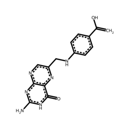 C=C(O)c1ccc(NCc2cnc3nc(N)[nH]c(=O)c3n2)cc1